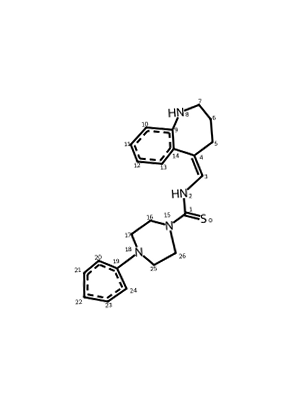 S=C(N/C=C1/CCCNc2ccccc21)N1CCN(c2ccccc2)CC1